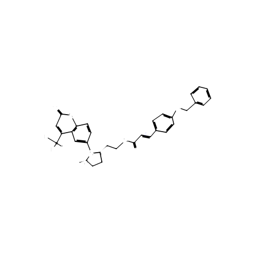 C[C@@H]1CC[C@H](CCNC(=O)/C=C/c2ccc(OCc3ccccc3)cc2)N1c1ccc2[nH]c(=O)cc(C(F)(F)F)c2c1